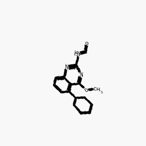 COc1nc(NC=O)nc2cccc(C3CCCCC3)c12